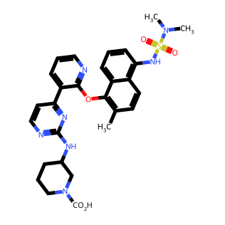 Cc1ccc2c(NS(=O)(=O)N(C)C)cccc2c1Oc1ncccc1-c1ccnc(NC2CCCN(C(=O)O)C2)n1